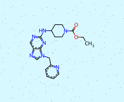 CCOC(=O)N1CCC(Nc2ncc3ncn(Cc4ccccn4)c3n2)CC1